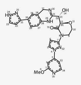 COc1cc(-n2ccc(N3CCO[C@H]([C@@H](O)C4=NCc5cc(-c6cc[nH]n6)ccc5N4)C3=O)n2)ccn1